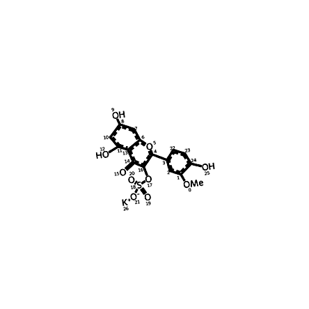 COc1cc(-c2oc3cc(O)cc(O)c3c(=O)c2OS(=O)(=O)[O-])ccc1O.[K+]